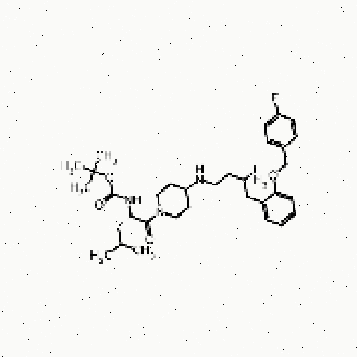 CC(C)C[C@H](NC(=O)OC(C)(C)C)C(=O)N1CCC(NCCC(C)Cc2ccccc2OCc2ccc(F)cc2)CC1